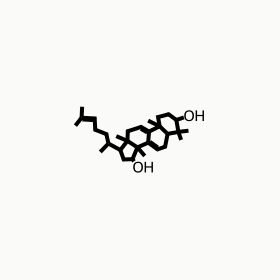 CC(C)=CCCC(C)C1CC(O)C2(C)C3=CCC4C(C)(CCC(O)C4(C)C)C3=CCC12C